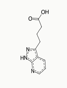 O=C(O)CCCc1n[nH]c2ncccc12